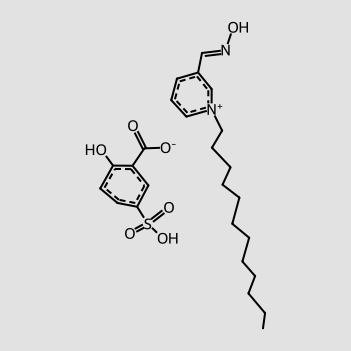 CCCCCCCCCCCC[n+]1cccc(C=NO)c1.O=C([O-])c1cc(S(=O)(=O)O)ccc1O